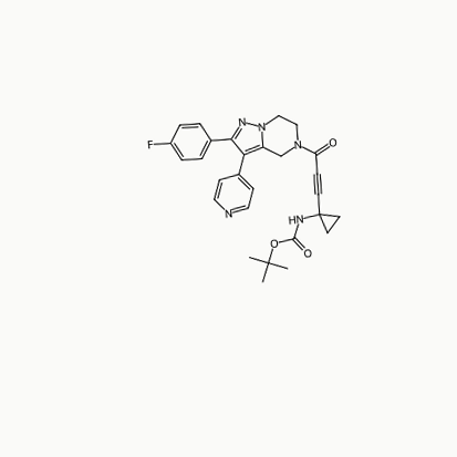 CC(C)(C)OC(=O)NC1(C#CC(=O)N2CCn3nc(-c4ccc(F)cc4)c(-c4ccncc4)c3C2)CC1